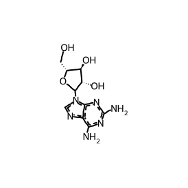 Nc1nc(N)c2ncn(C3O[C@H](CO)[C@@H](O)[C@@H]3O)c2n1